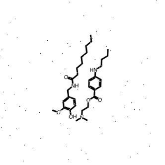 CCCCCCCCC(=O)NCc1ccc(O)c(OC)c1.CCCCNc1ccc(C(=O)OCCN(C)C)cc1